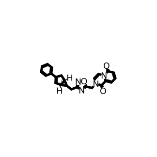 O=c1c2cccc(=O)n2ccn1Cc1nc(CC2[C@H]3C=C(c4ccccc4)C[C@@H]23)no1